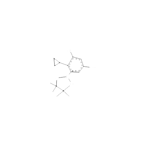 CC1(C)OB(c2cc(O)cc(Cl)c2C2CC2)OC1(C)C